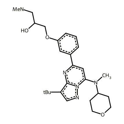 CNCC(O)COc1cccc(-c2cc(N(C)C3CCOCC3)n3ncc(C(C)(C)C)c3n2)c1